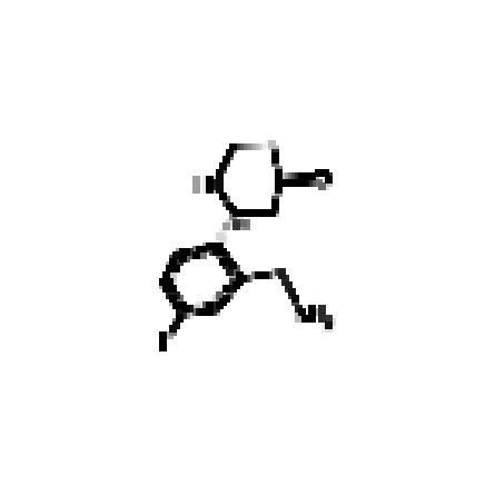 NCc1cc(F)ccc1[C@H]1CC(=O)CCN1